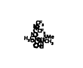 CSC[C@H](C)NC(=O)c1c(Cl)cccc1C(=O)Nc1ccc(Cn2nc(C(F)(F)F)cc2C(F)(F)F)nc1C